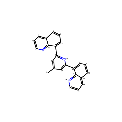 Cc1cc(-c2cccc3cccnc23)nc(-c2cccc3cccnc23)c1